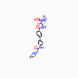 CC(C)CNCC(=O)Nc1ccc(-c2ccc(C(=O)N[C@@H](CN)C(=O)NO)cc2)cc1